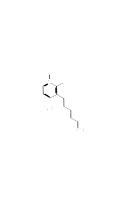 Br.CCCCCCCCCCCCCCc1ccc[n+](C)c1C.N